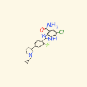 NC(=O)c1cc(Cl)cc2[nH]c(-c3ccc(C4CCCN(CC5CC5)C4)cc3F)nc12